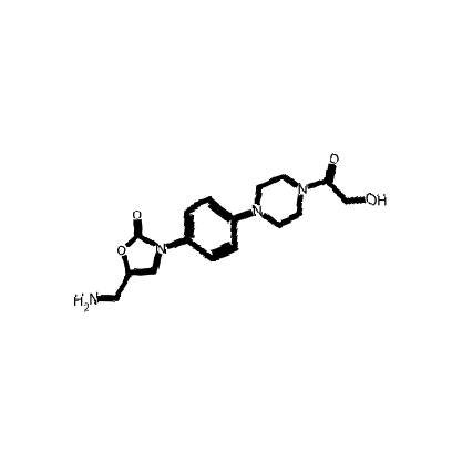 NCC1CN(c2ccc(N3CCN(C(=O)CO)CC3)cc2)C(=O)O1